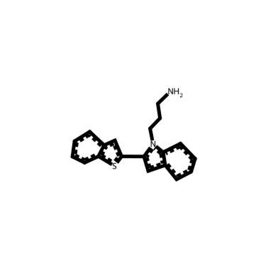 NCCCn1c(-c2cc3ccccc3s2)cc2ccccc21